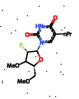 CCCc1cn([C@@H]2O[C@H](COC)C(OC)[C@@H]2F)c(=O)[nH]c1=O